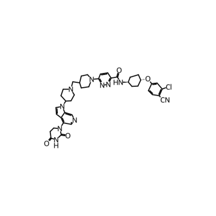 N#Cc1ccc(O[C@H]2CC[C@H](NC(=O)c3ccc(N4CCC(CN5CCC(n6ccc7c(N8CCC(=O)NC8=O)cncc76)CC5)CC4)nn3)CC2)cc1Cl